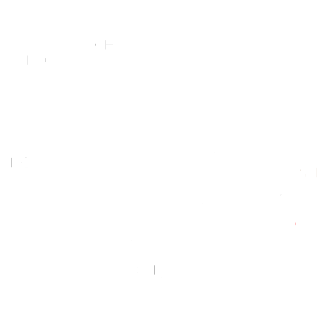 CC(C)=CCCC(C)=CCC/C(C)=C/Cc1cccc(C(=O)S)c1